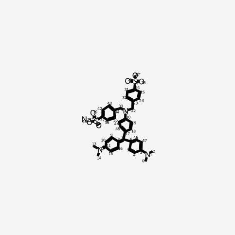 CN(C)c1ccc(C(=C2C=CC(=[N+](C)C)C=C2)c2ccc(N(Cc3ccc(S(=O)(=O)[O-])cc3)Cc3ccc(S(=O)(=O)[O-])cc3)cc2)cc1.[Na+]